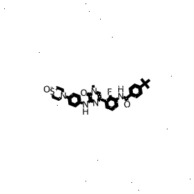 Cn1cc(-c2cccc(NC(=O)c3ccc(C(C)(C)C)cc3)c2F)nc(Nc2ccc(N3CC[S+]([O-])CC3)cc2)c1=O